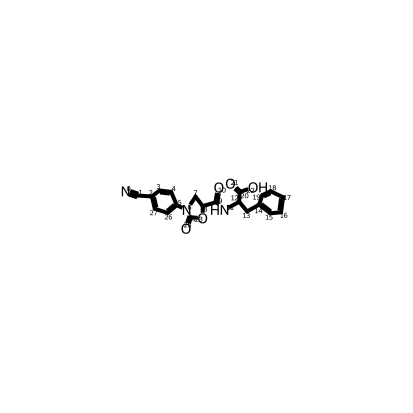 N#Cc1ccc(N2CC(C(=O)NC(Cc3ccccc3)C(=O)O)OC2=O)cc1